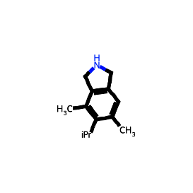 Cc1cc2c(c(C)c1C(C)C)CNC2